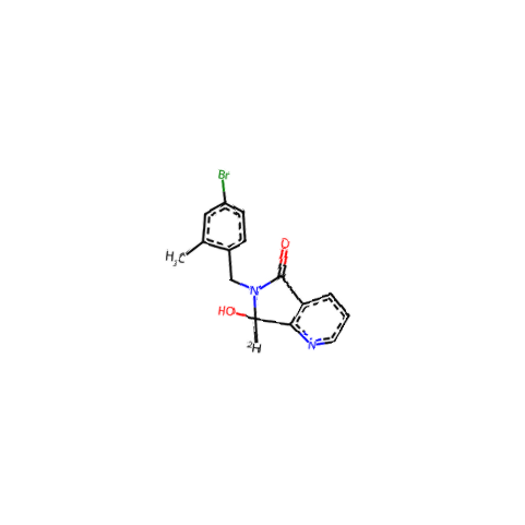 [2H]C1(O)c2ncccc2C(=O)N1Cc1ccc(Br)cc1C